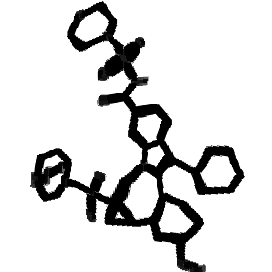 COc1ccc2c(c1)C1CC1(S(=O)(=O)N1CCN3CCC1CC3)Cn1c-2c(C2CCCCC2)c2ccc(C(=O)NS(=O)(=O)N3CCOCC3)cc21